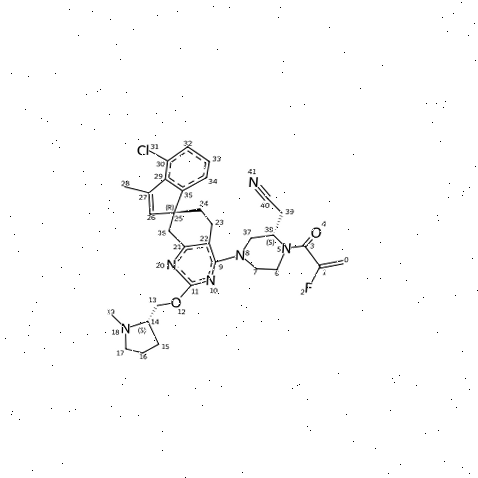 C=C(F)C(=O)N1CCN(c2nc(OC[C@@H]3CCCN3C)nc3c2CC[C@]2(C=C(C)c4c(Cl)cccc42)C3)C[C@@H]1CC#N